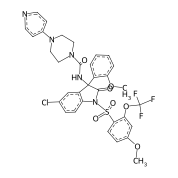 COc1ccc(S(=O)(=O)N2C(=O)C(NC(=O)N3CCN(c4ccncc4)CC3)(c3ccccc3OC)c3cc(Cl)ccc32)c(OC(F)(F)F)c1